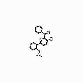 CN(C)Cc1ccccc1-c1ccc(Cl)c(C(=O)c2ccccc2)n1